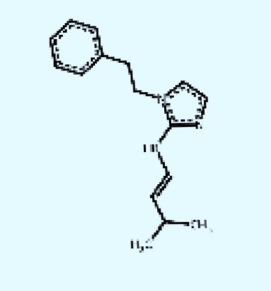 CC(C)C=CBc1nccn1CCc1ccccc1